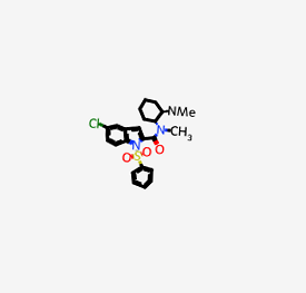 CN[C@@H]1CCCC[C@@H]1N(C)C(=O)c1cc2cc(Cl)ccc2n1S(=O)(=O)c1ccccc1